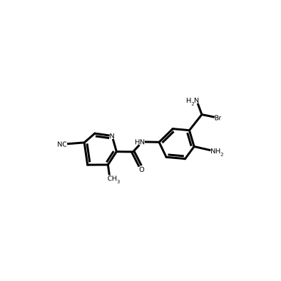 Cc1cc(C#N)cnc1C(=O)Nc1ccc(N)c(C(N)Br)c1